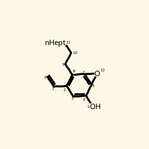 C=Cc1cc(O)c2c(c1CCCCCCCCC)O2